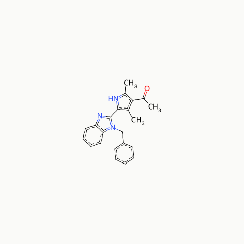 CC(=O)c1c(C)[nH]c(-c2nc3ccccc3n2Cc2ccccc2)c1C